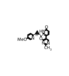 COc1ccc([C@H]2C[C@@H]2COc2nc(C)ncc2-c2ccc(=O)[nH]n2)nc1